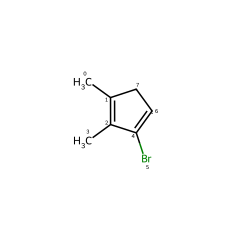 CC1=C(C)C(Br)=[C]C1